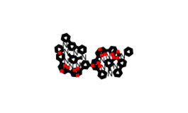 N#Cc1c(-n2c3ccccc3c3cc4c5ccccc5n(-c5ccccc5)c4cc32)c(C#N)c(-n2c3ccccc3c3cc(-c4ccc5c(c4)c4ccccc4n5-c4c(C#N)c(-n5c6ccccc6c6ccc7c(c8ccccc8n7-c7ccccc7)c65)c(C#N)c(-n5c6ccccc6c6ccccc65)c4-n4c5ccccc5c5ccccc54)ccc32)c(-n2c3ccccc3c3ccccc32)c1-n1c2ccccc2c2ccccc21